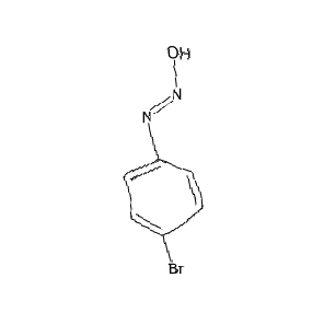 ON=Nc1ccc(Br)cc1